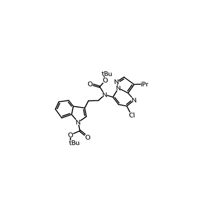 CC(C)c1cnn2c(N(CCc3cn(C(=O)OC(C)(C)C)c4ccccc34)C(=O)OC(C)(C)C)cc(Cl)nc12